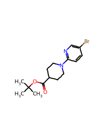 CC(C)(C)OC(=O)C1CCN(c2ccc(Br)cn2)CC1